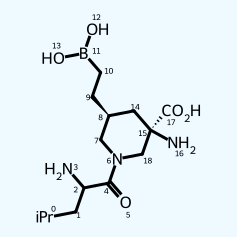 CC(C)CC(N)C(=O)N1C[C@@H](CCB(O)O)C[C@](N)(C(=O)O)C1